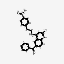 O=C(c1ccccc1)c1ccc2nc(Cl)cc(NCCc3ccc([N+](=O)[O-])cc3)c2c1